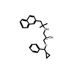 CC(C)(Cc1ccc2ccccc2c1)NC[C@@H](O)COC(c1ccccc1)C1CC1